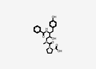 CN(CC(O)C(Cc1ccc(O)cc1)NC(=O)c1ccccc1)C(=O)N1CCC[C@H]1C(=O)O